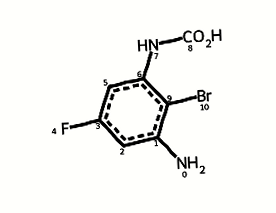 Nc1cc(F)cc(NC(=O)O)c1Br